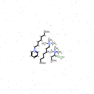 CCCCCCCCCCCCCCCC[N+](C)(C)C.CCCCCCCCCCCCCCCC[n+]1ccccc1.CCCCCCCCCCCC[N+](C)(C)C.Cl.Cl